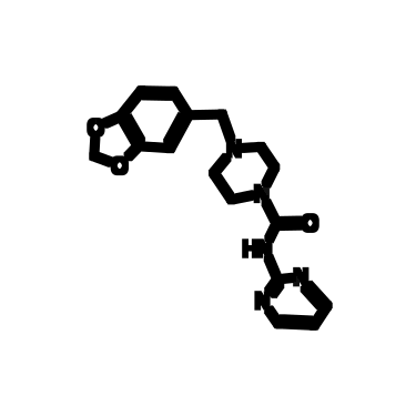 O=C(Nc1ncccn1)N1CCN(Cc2ccc3c(c2)OCO3)CC1